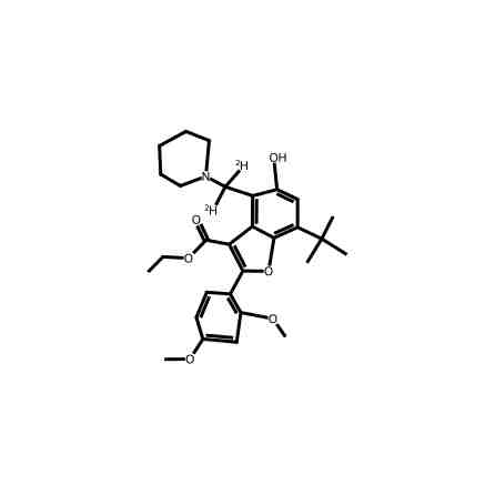 [2H]C([2H])(c1c(O)cc(C(C)(C)C)c2oc(-c3ccc(OC)cc3OC)c(C(=O)OCC)c12)N1CCCCC1